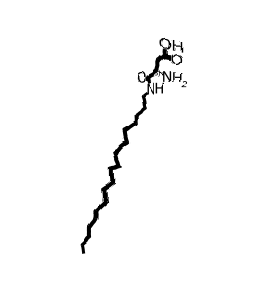 CCCCCCCCCCCCCCCCCCNC(=O)[C@@H](N)CC(=O)O